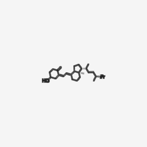 C=C1CCC(O)C/C1=C/C=C1\CCC[C@@]2(C)C1CC[C@@H]2C(C)/C=C/C(C)C(C)C